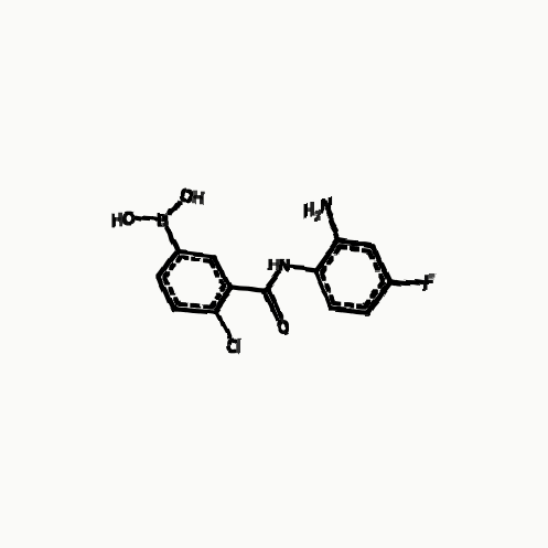 Nc1cc(F)ccc1NC(=O)c1cc(B(O)O)ccc1Cl